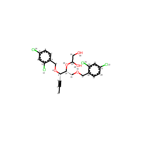 CC#C[C@H](OCc1ccc(Cl)cc1Cl)[C@@H](COCc1ccc(Cl)cc1Cl)OC(O)CO